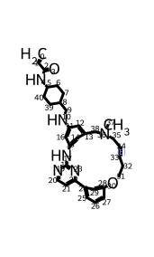 C=CC(=O)NC1CCC(CNc2cc3cc(c2)Nc2nccc(n2)-c2cccc(c2)OCC/C=C/CN(C)C3)CC1